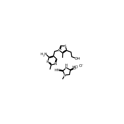 CN1CC(=O)NC1=N.Cc1ncc(C[n+]2csc(CCO)c2C)c(N)n1.Cl.[Cl-]